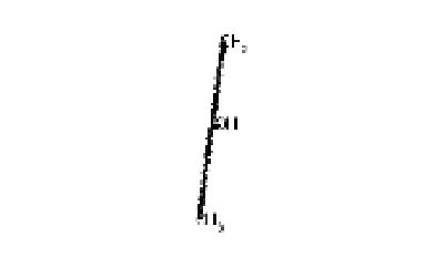 CCCCCCCCCCCCCCCCCCCCCCC(CO)CCCCCCCCCCCCCCCCCCCC